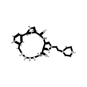 O=C1Nc2cn(CCN3CCOCC3)nc2C(=O)NCCOCCc2cc(ccn2)-c2nc1cs2